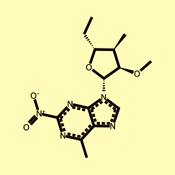 CC[C@H]1O[C@@H](n2cnc3c(C)nc([N+](=O)[O-])nc32)[C@H](OC)[C@@H]1C